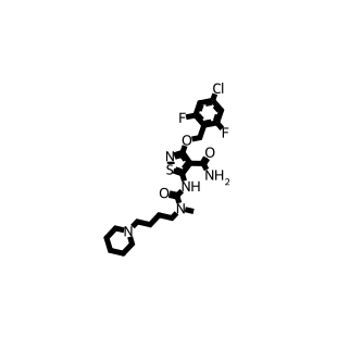 CN(CCCCN1CCCCC1)C(=O)Nc1snc(OCc2c(F)cc(Cl)cc2F)c1C(N)=O